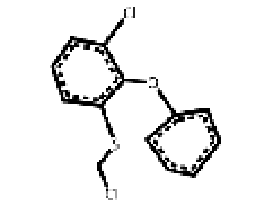 ClCSc1cccc(Cl)c1Oc1ccccc1